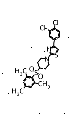 Cc1cc(C)c(S(=O)(=O)C2CCN(c3nc(-c4ccc(Cl)c(Cl)c4)cs3)CC2)c(C)c1